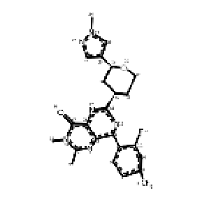 Cc1nc2c(-c3ccc(C(F)(F)F)cc3F)nc([C@@H]3CCO[C@H](c4cnn(C)c4)C3)nc2c(=O)n1C